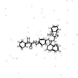 O=C(NCc1ccc(CN(Cc2nc3ccccc3[nH]2)C2CCCc3cccnc32)cc1)Nc1ccccc1